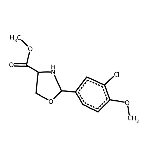 COC(=O)C1COC(c2ccc(OC)c(Cl)c2)N1